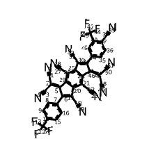 N#CC(C#N)=C1C(c2ccc(C(F)(F)F)cc2)=C(C#N)c2c(C#N)c3c(c(C#N)c21)C(C#N)=C(c1ccc(C#N)c(C(F)(F)F)c1)C3=C(C#N)C#N